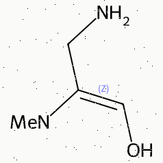 CN/C(=C\O)CN